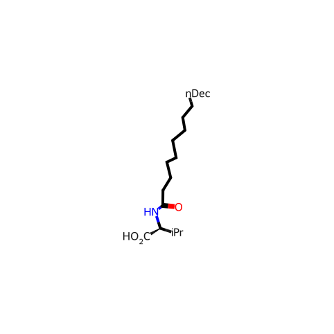 CCCCCCCCCCCCCCCCCCC(=O)N[C@H](C(=O)O)C(C)C